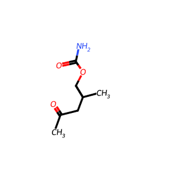 CC(=O)CC(C)COC(N)=O